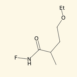 CCOCCC(C)C(=O)NF